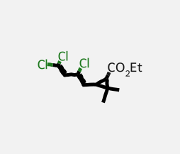 CCOC(=O)C1C(C=C(Cl)C=C(Cl)Cl)C1(C)C